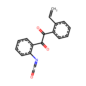 C=Cc1ccccc1C(=O)C(=O)c1ccccc1N=C=O